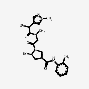 Cc1ccccc1NC(=O)C1CC(C#N)N(C(=O)CN(C)C(=O)C(c2cnn(C)c2)C(C)C)C1